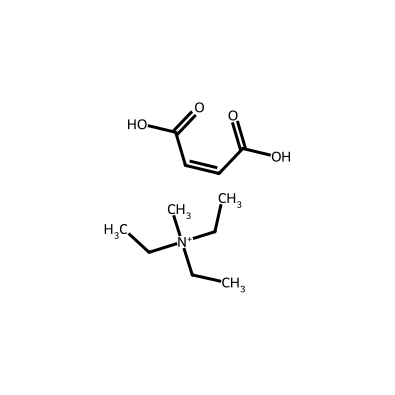 CC[N+](C)(CC)CC.O=C(O)/C=C\C(=O)O